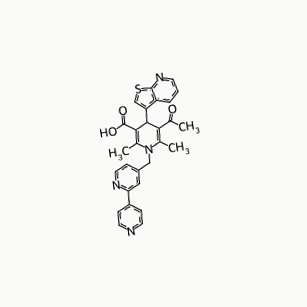 CC(=O)C1=C(C)N(Cc2ccnc(-c3ccncc3)c2)C(C)=C(C(=O)O)C1c1csc2ncccc12